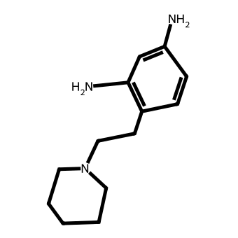 Nc1ccc(CCN2CCCCC2)c(N)c1